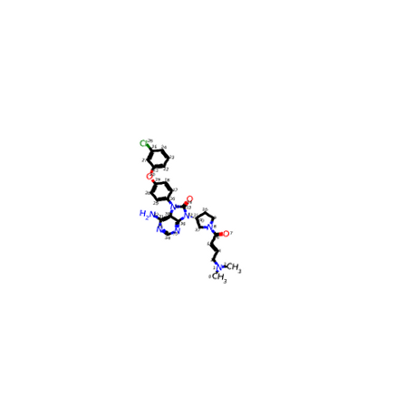 CN(C)CC=CC(=O)N1CC[C@@H](n2c(=O)n(-c3ccc(Oc4cccc(Cl)c4)cc3)c3c(N)ncnc32)C1